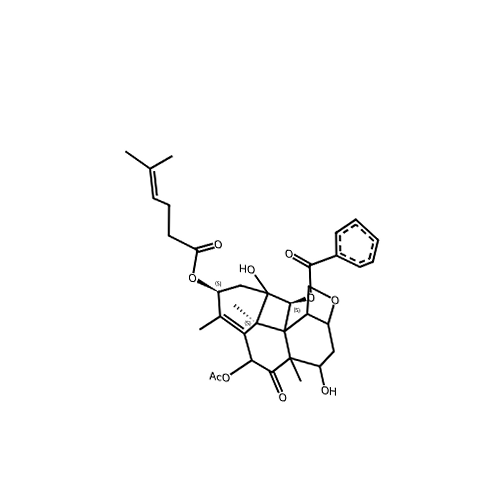 CC(=O)OC1C(=O)C2(C)C(O)CC3OCC3C23[C@H](OC(=O)c2ccccc2)C2(O)C[C@H](OC(=O)CCC=C(C)C)C(C)=C1[C@@]23C